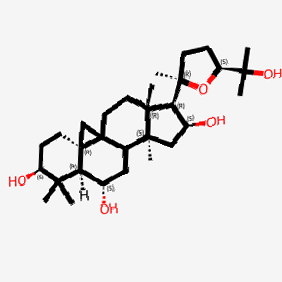 CC(C)(O)[C@@H]1CC[C@](C)([C@H]2[C@@H](O)C[C@@]3(C)C4C[C@H](O)[C@H]5C(C)(C)[C@@H](O)CC[C@@]56CC46CC[C@]23C)O1